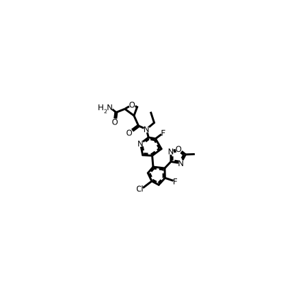 CCN(C(=O)C1COC1C(N)=O)c1ncc(-c2cc(Cl)cc(F)c2-c2noc(C)n2)cc1F